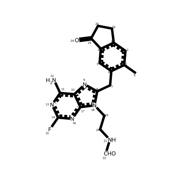 Cc1cc2c(cc1Cc1nc3c(N)nc(F)nc3n1CCNC=O)C(=O)CC2